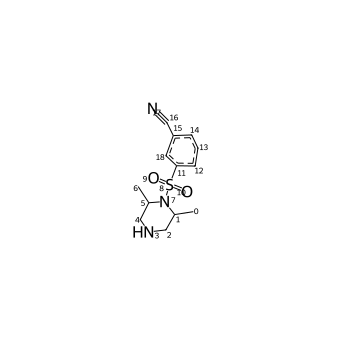 CC1CNCC(C)N1S(=O)(=O)c1cccc(C#N)c1